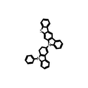 C1=C(n2c3ccccc3c3cc4c(cc32)sc2ccccc24)CCc2c1c1ccccc1n2-c1ccccc1